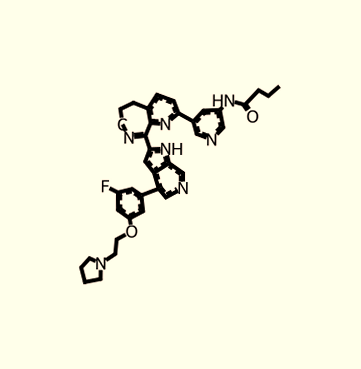 CCCC(=O)Nc1cncc(-c2ccc3c(n2)C(c2cc4c(-c5cc(F)cc(OCCN6CCCC6)c5)cncc4[nH]2)=NCCC3)c1